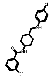 O=C(NC1CCC(CNc2ccc(Cl)cc2)CC1)c1cccc(C(F)(F)F)c1